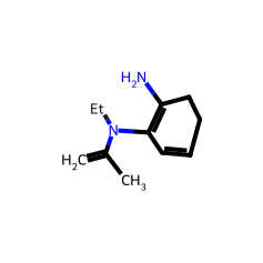 C=C(C)N(CC)C1=C(N)CCC=C1